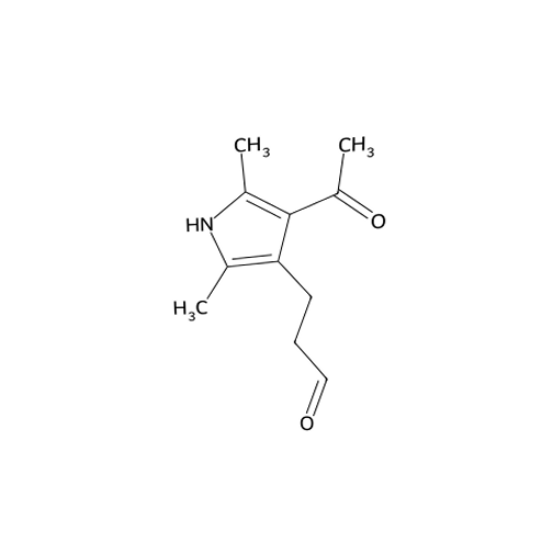 CC(=O)c1c(C)[nH]c(C)c1CCC=O